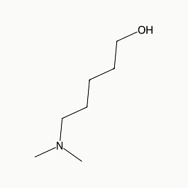 CN(C)CCCCCO